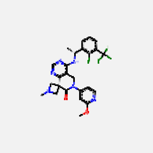 COc1cc(N2Cc3c(N[C@H](C)c4cccc(C(F)(F)F)c4F)ncnc3C3(CN(C)C3)C2=O)ccn1